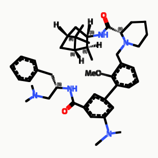 COc1c(CN2CCCC[C@H]2C(=O)N[C@H]2C[C@H]3C[C@@H]([C@@H]2C)C3(C)C)cccc1-c1cc(C(=O)N[C@@H](Cc2ccccc2)CN(C)C)cc(N(C)C)c1